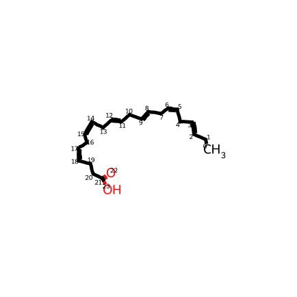 CC/C=C/C/C=C\C/C=C/C/C=C/C/C=C\C/C=C\CCC(=O)O